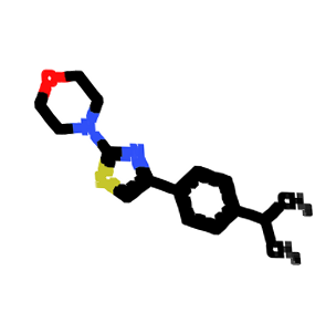 CC(C)c1ccc(-c2csc(N3CCOCC3)n2)cc1